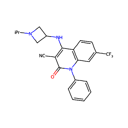 CC(C)N1CC(Nc2c(C#N)c(=O)n(-c3ccccc3)c3cc(C(F)(F)F)ccc23)C1